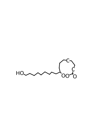 O=C1CCCCCCCC(CCCCCCCCCO)OO1